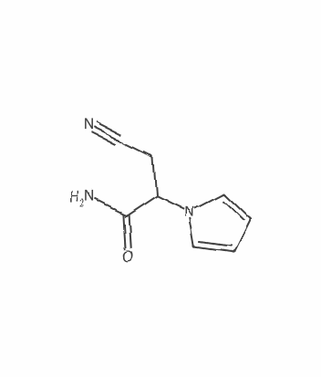 N#CCC(C(N)=O)n1cccc1